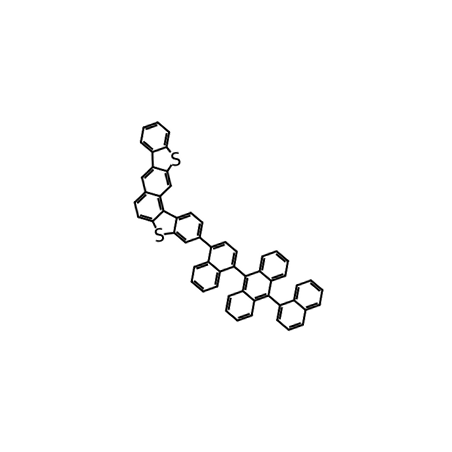 c1ccc2c(-c3c4ccccc4c(-c4ccc(-c5ccc6c(c5)sc5ccc7cc8c(cc7c56)sc5ccccc58)c5ccccc45)c4ccccc34)cccc2c1